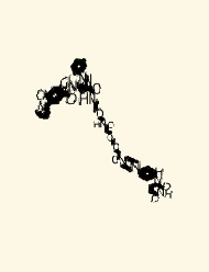 O=C(CCOCCOCCC(=O)N1CCN(c2ccc(NC3CCC(=O)NC3=O)cc2)CC1)NCCOCCNC(=O)c1cc(NC(=O)c2cc(-c3ccccn3)c(Cl)cc2Cl)n(-c2ccccc2)n1